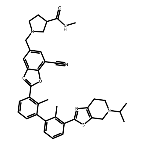 CNC(=O)C1CCN(Cc2cc(C#N)c3oc(-c4cccc(-c5cccc(-c6nc7c(s6)CN(C(C)C)CC7)c5C)c4C)nc3c2)C1